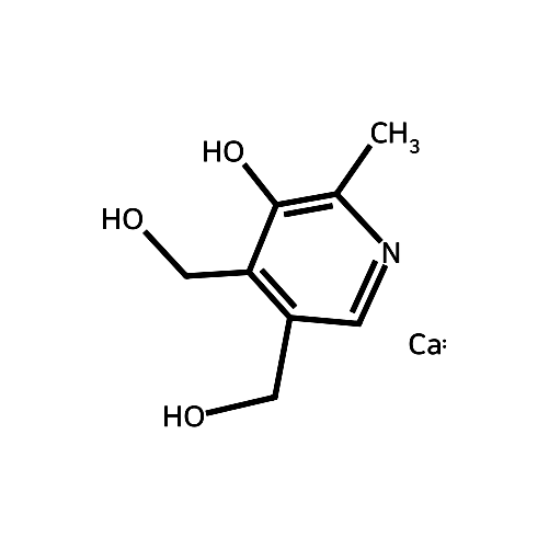 Cc1ncc(CO)c(CO)c1O.[Ca]